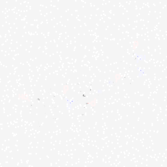 C=C1/C(=C\C=C(/C)Oc2ccnc3c2CCC(=O)N3)O[C@@H]2[C@@H](NC(=O)c3ccc(CO)c(C(F)(F)F)c3)[C@H]12